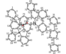 c1ccc(-c2cccc(-c3c(N(c4ccc(-c5cc(-c6ccccc6)ccc5-c5ccccc5)cc4)c4ccc5c(c4)-c4ccccc4C5(c4ccccc4)c4ccccc4)c4ccccc4c4ccccc34)c2)cc1